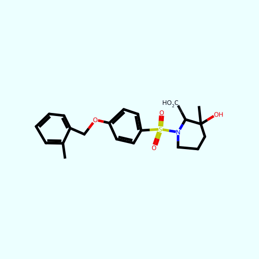 Cc1ccccc1COc1ccc(S(=O)(=O)N2CCCC(C)(O)C2C(=O)O)cc1